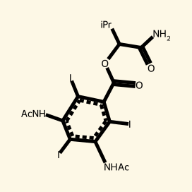 CC(=O)Nc1c(I)c(NC(C)=O)c(I)c(C(=O)OC(C(N)=O)C(C)C)c1I